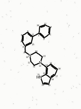 c1ccc(-c2cccc(CN3CCN(c4cccc5cc[nH]c45)CC3)c2)cc1